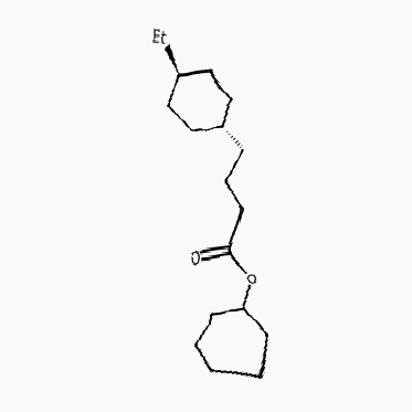 CC[C@H]1CC[C@H](CCCC(=O)OC2CCCCC2)CC1